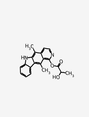 Cc1c2ccnc(OC(=O)C(C)O)c2c(C)c2c1[nH]c1ccccc12